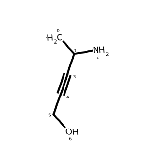 [CH2]C(N)C#CCO